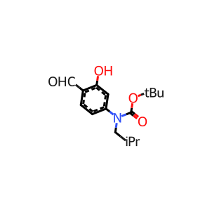 CC(C)CN(C(=O)OC(C)(C)C)c1ccc(C=O)c(O)c1